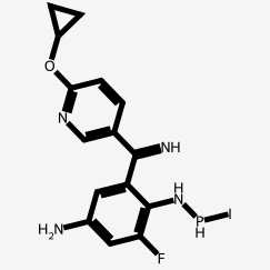 N=C(c1ccc(OC2CC2)nc1)c1cc(N)cc(F)c1NPI